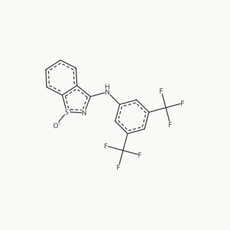 [O-][s+]1nc(Nc2cc(C(F)(F)F)cc(C(F)(F)F)c2)c2ccccc21